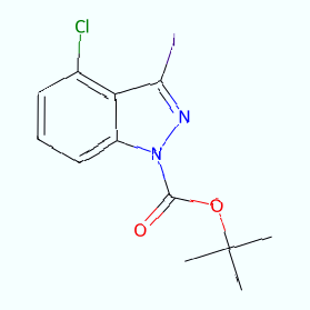 CC(C)(C)OC(=O)n1nc(I)c2c(Cl)cccc21